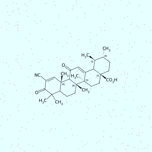 C[C@@H]1CC[C@]2(C(=O)O)CC[C@]3(C)C(=CC(=O)C4[C@@]5(C)C=C(C#N)C(=O)C(C)(C)C5CC[C@]43C)C2[C@H]1C